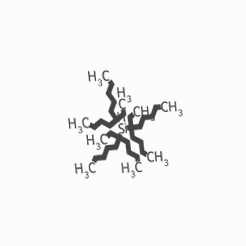 CCCCCC(CC)(CCCC)[SiH](C(CC)(CCCC)CCCCC)C(CC)(CCCC)CCCCC